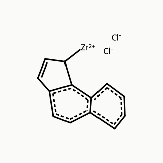 [Cl-].[Cl-].[Zr+2][CH]1C=Cc2ccc3ccccc3c21